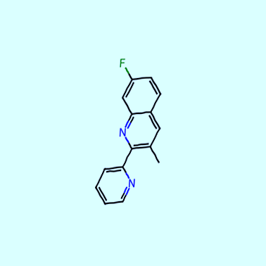 Cc1cc2ccc(F)cc2nc1-c1ccccn1